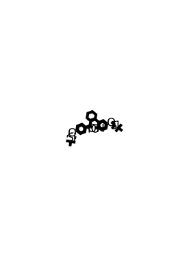 CC(C)(C)[Si](C)(C)Oc1ccc(C(O)C2=C(c3cc(O[Si](C)(C)C(C)(C)C)ccc3O)CCCC2)cc1